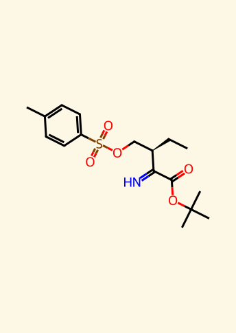 CC[C@H](COS(=O)(=O)c1ccc(C)cc1)C(=N)C(=O)OC(C)(C)C